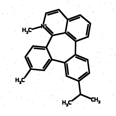 Cc1ccc2c(c1)-c1cc(C(C)C)ccc1-c1cccc3cc[n+](C)c-2c13